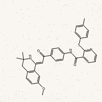 COc1ccc2c(c1)C(=CC(=O)c1ccc(NC(=O)c3cccnc3Sc3ccc(C)cc3)cc1)NC(C)(C)C2